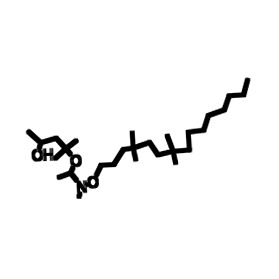 CCCCCCCCC(C)(C)CCC(C)(C)CCCON(C)C(C)OC(C)(C)CC(C)O